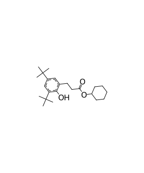 CC(C)(C)c1cc(CCC(=O)OC2CCCCC2)c(O)c(C(C)(C)C)c1